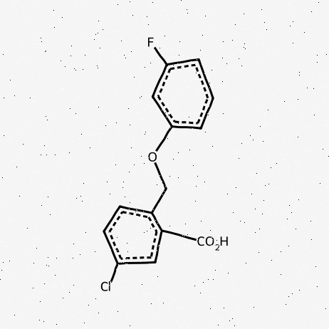 O=C(O)c1cc(Cl)ccc1COc1cccc(F)c1